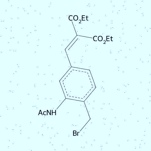 CCOC(=O)C(=Cc1ccc(CBr)c(NC(C)=O)c1)C(=O)OCC